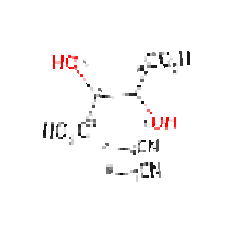 CC#N.CC#N.O=C(O)C(O)C(O)C(=O)O